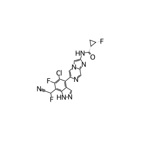 N#CC(F)c1c(F)c(Cl)c(-c2cn3cc(NC(=O)[C@@H]4C[C@@H]4F)nc3cn2)c2cn[nH]c12